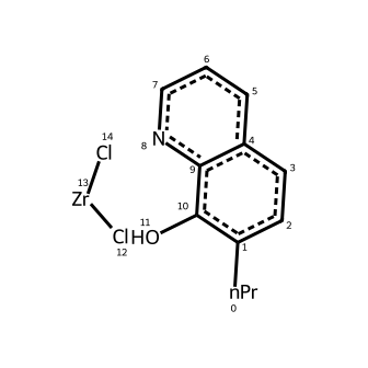 CCCc1ccc2cccnc2c1O.[Cl][Zr][Cl]